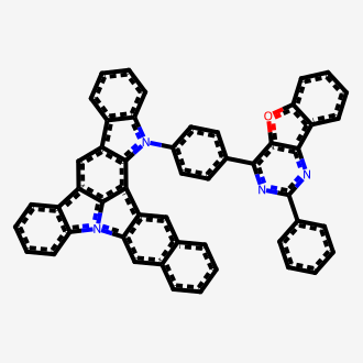 c1ccc(-c2nc(-c3ccc(-n4c5ccccc5c5cc6c7ccccc7n7c8cc9ccccc9cc8c(c54)c67)cc3)c3oc4ccccc4c3n2)cc1